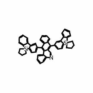 c1ccc2c(c1)-c1cc(-c3c4ccccc4c(-c4ccc5c(c4)-c4ccccc4[Si]54CCCC4)c4c3cnc3ccccc34)ccc1[Si]21CCCC1